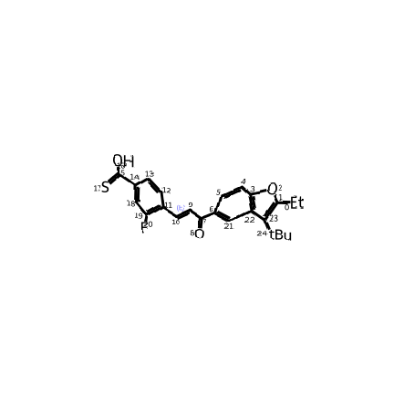 CCc1oc2ccc(C(=O)/C=C/c3ccc(C(O)=S)cc3F)cc2c1C(C)(C)C